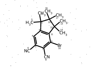 CC1(C)c2cc(C#N)c(C#N)c(Br)c2C(C)(C)C1(C)C